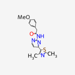 COc1ccc(CC(=O)Nc2nccc(-c3sc(C)nc3C)n2)cc1